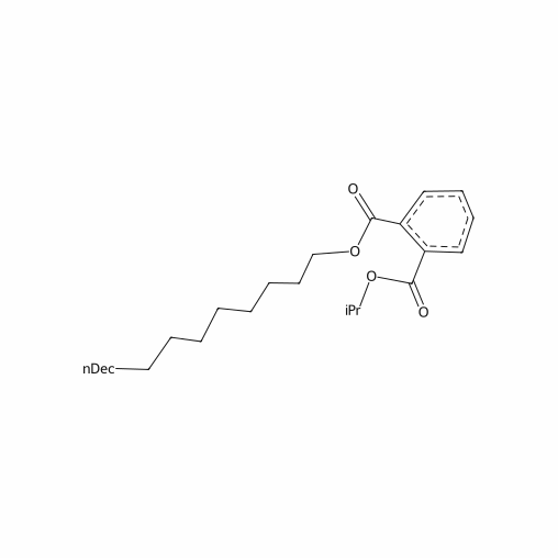 CCCCCCCCCCCCCCCCCCOC(=O)c1ccccc1C(=O)OC(C)C